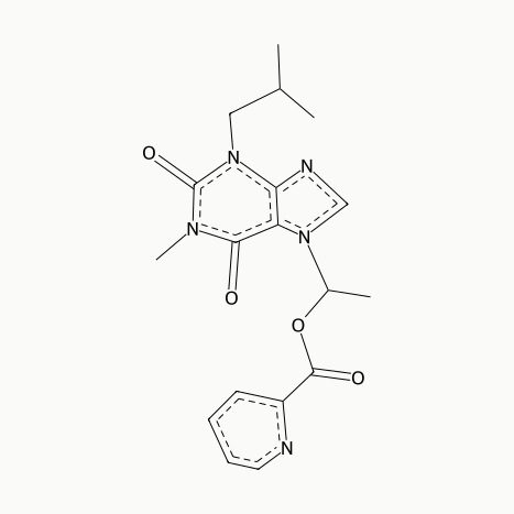 CC(C)Cn1c(=O)n(C)c(=O)c2c1ncn2C(C)OC(=O)c1ccccn1